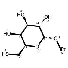 CC(C)O[C@@H]1O[C@@H](CS)[C@@H](O)[C@@H](O)[C@@H]1O